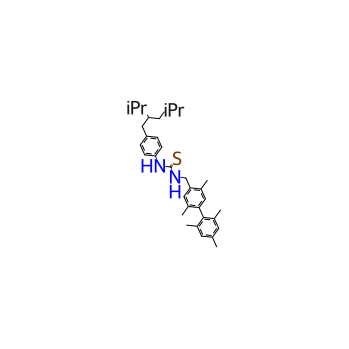 Cc1cc(C)c(-c2cc(C)c(CNC(=S)Nc3ccc(CC(CC(C)C)C(C)C)cc3)cc2C)c(C)c1